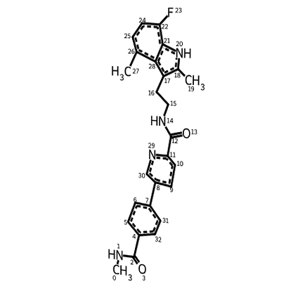 CNC(=O)c1ccc(-c2ccc(C(=O)NCCc3c(C)[nH]c4c(F)ccc(C)c34)nc2)cc1